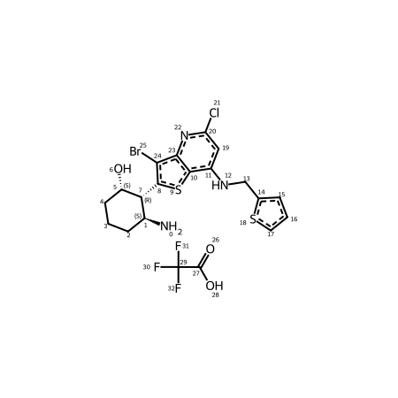 N[C@H]1CCC[C@H](O)[C@@H]1c1sc2c(NCc3cccs3)cc(Cl)nc2c1Br.O=C(O)C(F)(F)F